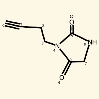 C#CCCN1C(=O)CNC1=O